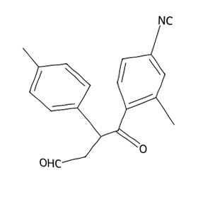 [C-]#[N+]c1ccc(C(=O)C(CC=O)c2ccc(C)cc2)c(C)c1